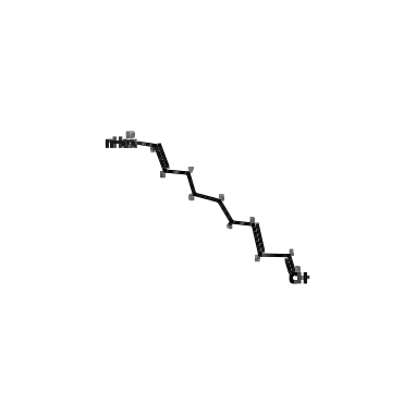 [CH]=CC=CCCCCC=CCCCCCC